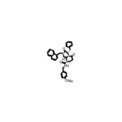 COc1ccc(CNC(=O)N2CCC(=O)N3[C@@H]2CN(Cc2cccc4ccccc24)C(=O)[C@@H]3Cc2ccccc2)cc1